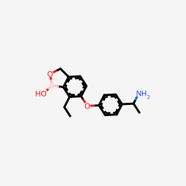 CCc1c(Oc2ccc(C(C)N)cc2)ccc2c1B(O)OC2